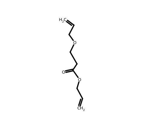 C=CCOCCC(=O)OCC=C